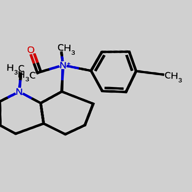 CC(=O)[N+](C)(c1ccc(C)cc1)C1CCCC2CCCN(C)C21